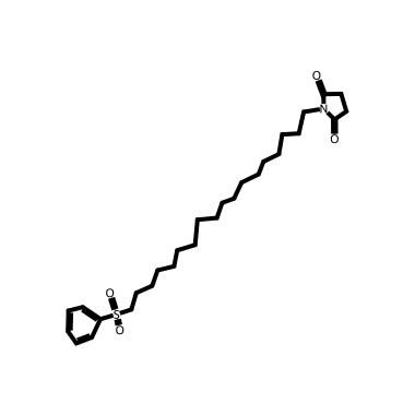 O=C1CCC(=O)N1CCCCCCCCCCCCCCCCCCS(=O)(=O)c1ccccc1